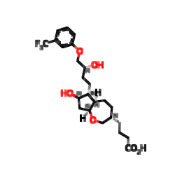 O=C(O)CCC[C@H]1CC[C@@H]2[C@@H](CC[C@@H](O)COc3cccc(C(F)(F)F)c3)[C@H](O)C[C@@H]2OC1